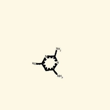 Nc1[c]c(O)nc(N)n1